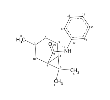 CC1CCC2C(C)(C)C2(C(=O)Nc2[c]cccc2)C1